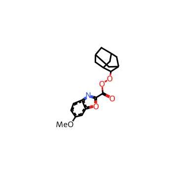 COc1ccc2nc(C(=O)OOC3C4CC5CC(C4)CC3C5)oc2c1